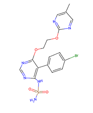 Cc1cnc(OCCOc2ncnc(NS(N)(=O)=O)c2-c2ccc(Br)cc2)nc1